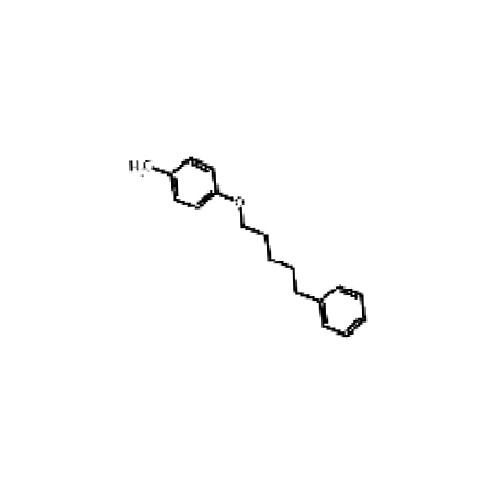 Cc1ccc(OCCCCCc2ccccc2)cc1